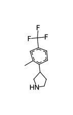 Cc1cc(C(F)(F)F)ccc1C1CCNC1